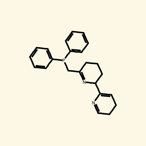 C1=NC(C2CCCC(CP(c3ccccc3)c3ccccc3)=N2)=CCC1